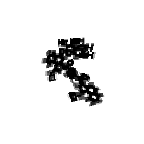 O=C(c1ccc(C(=O)N2C[C@@H](CCl)c3c2cc(O[C@@H]2O[C@H](CO)[C@H](O)[C@@H](O)[C@@H]2O)c2ccccc32)s1)N1C[C@@H](CCl)c2c1c[c]c1ccccc21